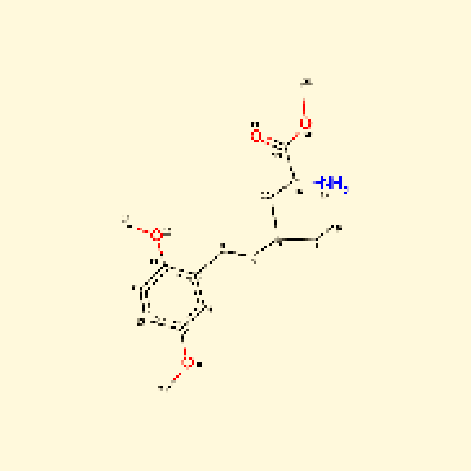 CCC(CCc1cc(OC)ccc1OC)CC(N)C(=O)OC